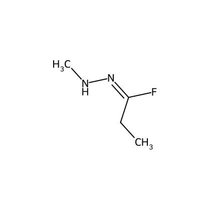 CC/C(F)=N\NC